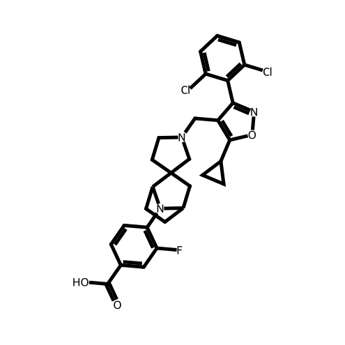 O=C(O)c1ccc(N2C3CCC2C2(CCN(Cc4c(-c5c(Cl)cccc5Cl)noc4C4CC4)C2)C3)c(F)c1